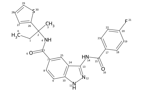 CCC(C)(NC(=O)c1ccc2[nH]nc(NC(=O)c3ccc(F)cc3)c2c1)c1cccs1